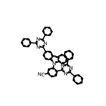 N#Cc1ccc(-c2nc(-c3ccccc3)nc(-c3ccccc3)n2)c(-n2c3ccccc3c3cc(-c4nc(-c5ccccc5)nc(-c5ccccc5)n4)ccc32)c1